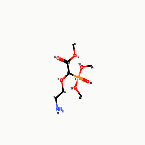 COC(=O)C(OCCN)P(=O)(OC)OC